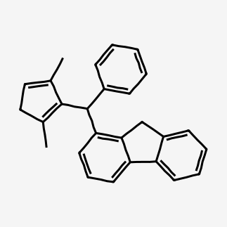 CC1=CCC(C)=C1C(c1ccccc1)c1cccc2c1Cc1ccccc1-2